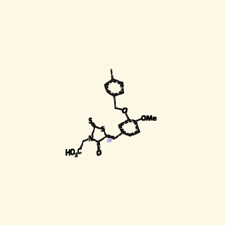 COc1ccc(/C=C2\SC(=S)N(CC(=O)O)C2=O)cc1OCc1ccc(C)cc1